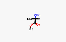 CCOC(=O)C(C)(N)C(C)CC